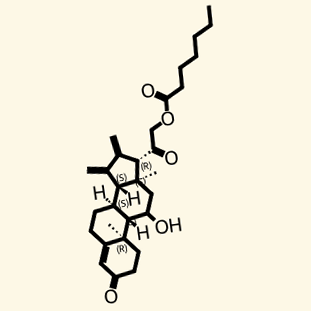 C=C1C(=C)[C@H]2[C@@H]3CCC4=CC(=O)CC[C@]4(C)[C@H]3C(O)C[C@]2(C)[C@H]1C(=O)COC(=O)CCCCCC